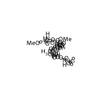 COc1ccc(C2=CN3C(=O)c4cc(OC)c(OCCCOc5cc6c(cc5OC)C(=O)N5CC7(CC7)C[C@H]5C(O)N6C(=O)OCc5ccc(NC(=O)[C@H](C)NC(=O)[C@@H](NC(=O)COCCOCCNC(=O)CCC(=O)N6Cc7ccccc7/C=C\c7ccccc76)C(C)C)cc5)cc4NC[C@@H]3C2)cc1